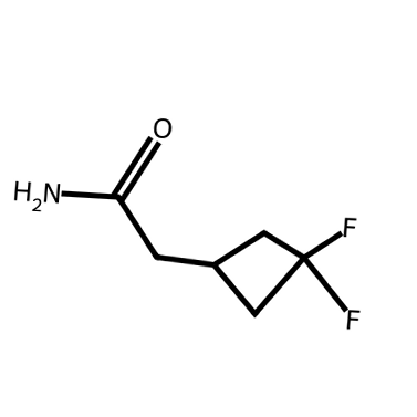 NC(=O)CC1CC(F)(F)C1